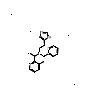 Cc1cccnc1C(C)N(CCc1cnc[nH]1)Cc1ccccn1